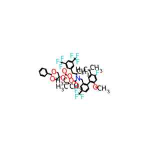 COc1cc(F)c(C(C)C)cc1-c1ccc(C(F)(F)F)cc1CN(C(=O)OC(C)(C)C)C(C)C(OC(=O)OC1COC(c2ccccc2)OC1)c1cc(C(F)(F)F)cc(C(F)(F)F)c1